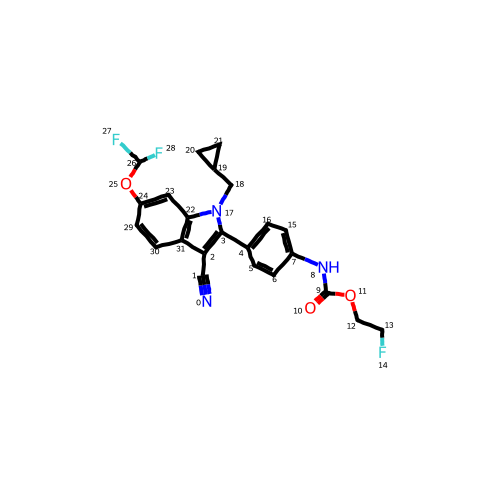 N#Cc1c(-c2ccc(NC(=O)OCCF)cc2)n(CC2CC2)c2cc(OC(F)F)ccc12